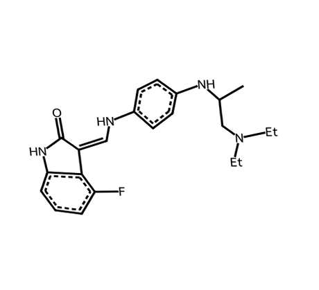 CCN(CC)CC(C)Nc1ccc(NC=C2C(=O)Nc3cccc(F)c32)cc1